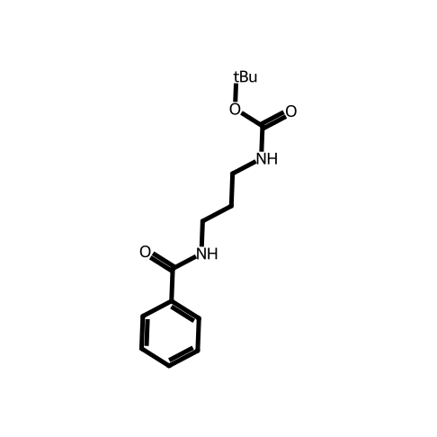 CC(C)(C)OC(=O)NCCCNC(=O)c1ccccc1